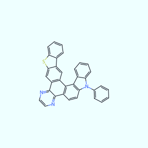 c1ccc(-n2c3ccccc3c3c4c5cc6c(cc5c5nccnc5c4ccc32)sc2ccccc26)cc1